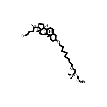 CCCCOC[C@@H](COCCCCCCCCOC1CCC2(C)C(=CCC3[C@@H]2CCC2(C)[C@@H]([C@H](C)CCCC(C)C)CC[C@@H]32)C1)N(C)C